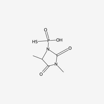 CC1C(=O)N(C)C(=O)N1P(=O)(O)S